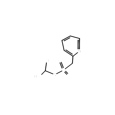 CC(C)NS(=O)(=O)Cc1ccccn1